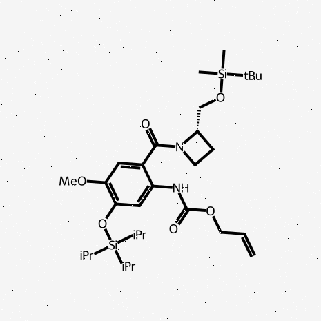 C=CCOC(=O)Nc1cc(O[Si](C(C)C)(C(C)C)C(C)C)c(OC)cc1C(=O)N1CC[C@H]1CO[Si](C)(C)C(C)(C)C